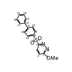 COc1ccc(S(=O)(=O)c2ccc(-c3ccccc3)cc2)nn1